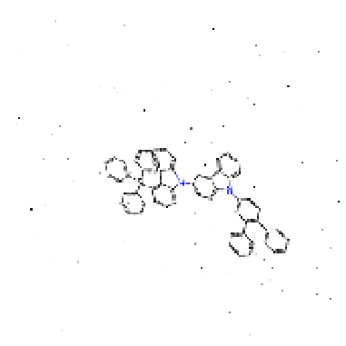 c1ccc(-c2ccc(-n3c4ccccc4c4cc(-n5c6ccccc6c6c([Si](c7ccccc7)(c7ccccc7)c7ccccc7)cccc65)ccc43)cc2-c2ccccc2)cc1